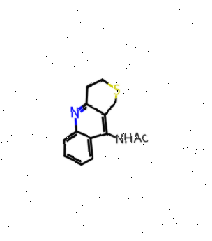 CC(=O)Nc1c2c(nc3ccccc13)CCSC2